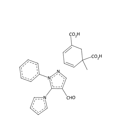 CC1(C(=O)O)C=CC=C(C(=O)O)C1.O=Cc1cnn(-c2ccccc2)c1-n1cccc1